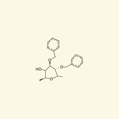 CC1O[C@@H](C)C(O)[C@@H](OCc2ccccc2)[C@@H]1OCc1ccccc1